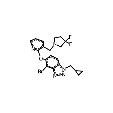 FC1(F)CCN(Cc2cccnc2Oc2ccc3c(nnn3CC3CC3)c2Br)C1